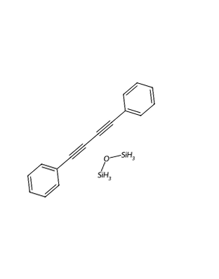 C(C#Cc1ccccc1)#Cc1ccccc1.[SiH3]O[SiH3]